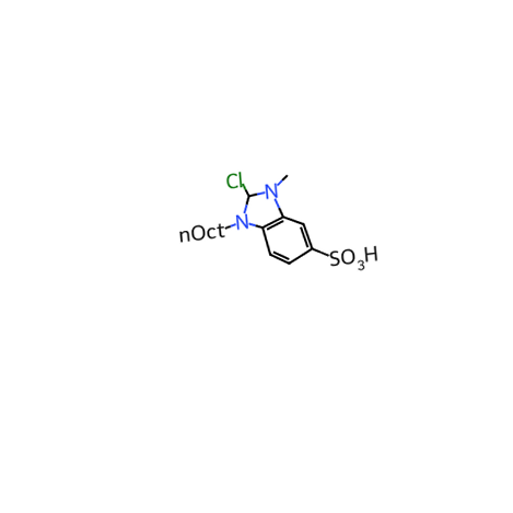 CCCCCCCCN1c2ccc(S(=O)(=O)O)cc2N(C)C1Cl